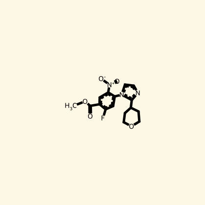 COC(=O)c1cc([N+](=O)[O-])c(-n2ccnc2C2CCOCC2)cc1F